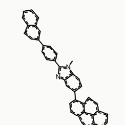 Cn1c(-c2ccc(-c3ccc4ccccc4c3)cc2)nc2cc(-c3ccc4ccc5cccc6ccc3c4c56)ccc21